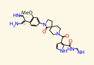 COc1cc(N2CCC3(CCN(C(=O)c4cc[nH]c4C(=O)NC=N)CC3)C2=O)ccc1/C(C=N)=C/N